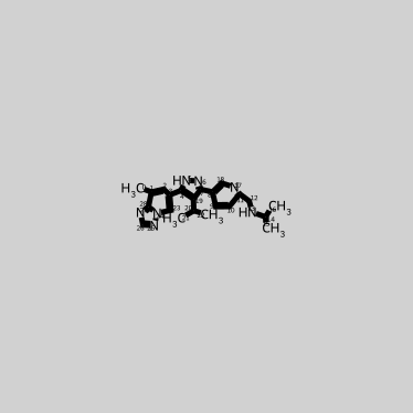 Cc1cc(-c2[nH]nc(-c3ccc(CNC(C)C)nc3)c2C(C)C)cn2ncnc12